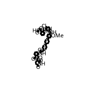 COc1cc(N2CCC(N3CCN(CC(=O)Nc4cccc5c4C(=O)N(C4CCC(=O)NC4=O)C5=O)CC3)CC2)ccc1Nc1ncc(Cl)c(Nc2ccccc2N(C)[SH]=O)n1